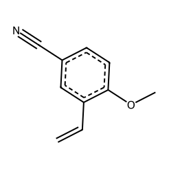 C=Cc1cc(C#N)ccc1OC